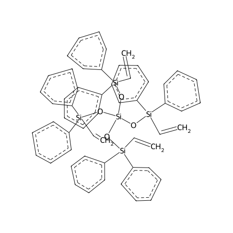 C=C[Si](O[Si](O[Si](C=C)(c1ccccc1)c1ccccc1)(O[Si](C=C)(c1ccccc1)c1ccccc1)O[Si](C=C)(c1ccccc1)c1ccccc1)(c1ccccc1)c1ccccc1